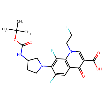 CC(C)(C)OC(=O)NC1CCN(c2c(F)cc3c(=O)c(C(=O)O)cn(CCF)c3c2F)C1